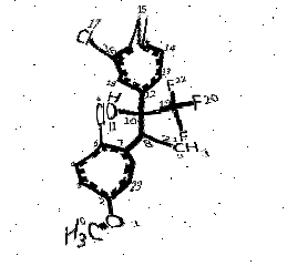 COc1ccc(Cl)c(C(C)C(O)(c2ccnc(Cl)c2)C(F)(F)F)c1